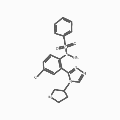 CCCCN(c1ccc(Cl)cc1-c1nncn1C1CCNC1)S(=O)(=O)c1ccccc1